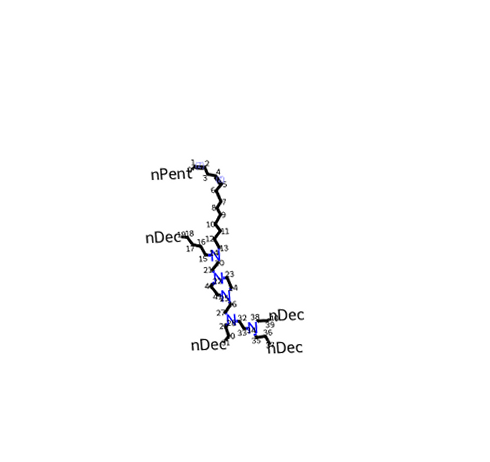 CCCCC/C=C\C/C=C\CCCCCCCCN(CCCCCCCCCCCCCC)CCN1CCN(CCN(CCCCCCCCCCCC)CCN(CCCCCCCCCCCC)CCCCCCCCCCCC)CC1